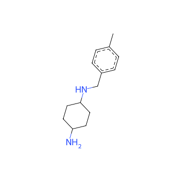 Cc1ccc(CNC2CCC(N)CC2)cc1